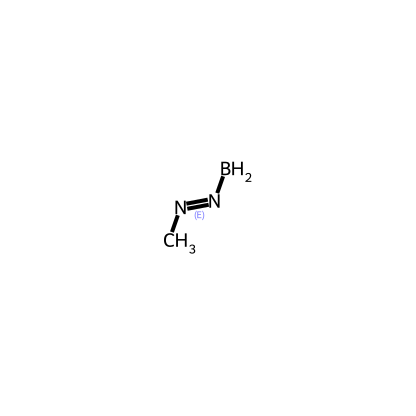 B/N=N/C